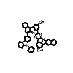 CC(C)(C)c1cc2c3cc4ccccc4cc3n3c4nc5c6cc(C(C)(C)C)cc7c8c9ccccc9cc(-c9ccc%10c(c9)c9ccccc9n%10-c9ccccc9)c8n(c5nc4c(c1)c23)c67